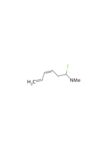 C=C/C=C\CC(F)NC